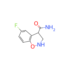 NC(=O)C1CNOc2ccc(F)cc21